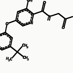 CC(C)(C)c1cccc(Oc2cnc(C(=O)NCC(=O)O)c(O)c2)c1